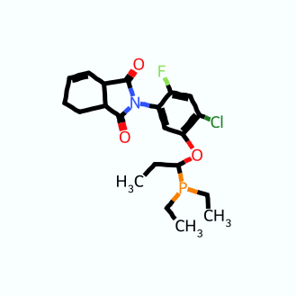 CCC(Oc1cc(N2C(=O)C3C=CCCC3C2=O)c(F)cc1Cl)P(CC)CC